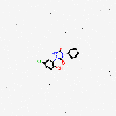 O=c1[nH]n(-c2cc(Cl)ccc2O)c(=O)n1-c1ccccc1